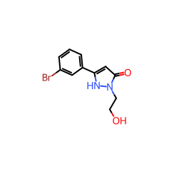 O=c1cc(-c2cccc(Br)c2)[nH]n1CCO